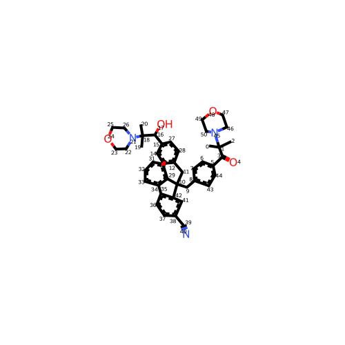 CC(C)(C(=O)c1ccc(CC2(Cc3ccc(C(O)C(C)(C)N4CCOCC4)cc3)c3ccccc3-c3ccc(C#N)cc32)cc1)N1CCOCC1